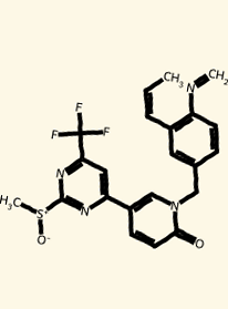 C=Nc1ccc(Cn2cc(-c3cc(C(F)(F)F)nc([S+](C)[O-])n3)ccc2=O)cc1/C=C\C